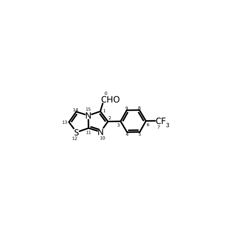 O=Cc1c(-c2ccc(C(F)(F)F)cc2)nc2sccn12